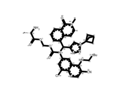 C[C@H](N)C(=O)OCOC(=O)N(c1cc(Cl)c2ncc(C#N)c(NCC(C)(C)C)c2c1)C(c1cn(C23CC(C2)C3)nn1)c1cccc2c(=O)n(C)ccc12